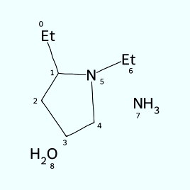 CCC1CCCN1CC.N.O